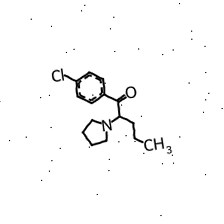 CCCC(C(=O)c1ccc(Cl)cc1)N1CCCC1